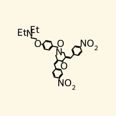 CCN(CC)CCOc1ccc(C(=O)N2C/C(=C/c3ccc([N+](=O)[O-])cc3)C(=O)/C(=C/c3ccc([N+](=O)[O-])cc3)C2)cc1